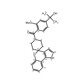 COc1cc(C(C)(C)O)ccc1C(=O)N1CCC2(CC1)Oc1ccccc1-c1[nH]ncc12